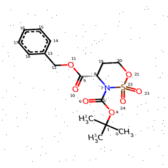 CC(C)(C)OC(=O)N1[C@H](C(=O)OCc2ccccc2)CCOS1(=O)=O